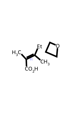 C1COC1.CC/C(C)=C(\C)C(=O)O